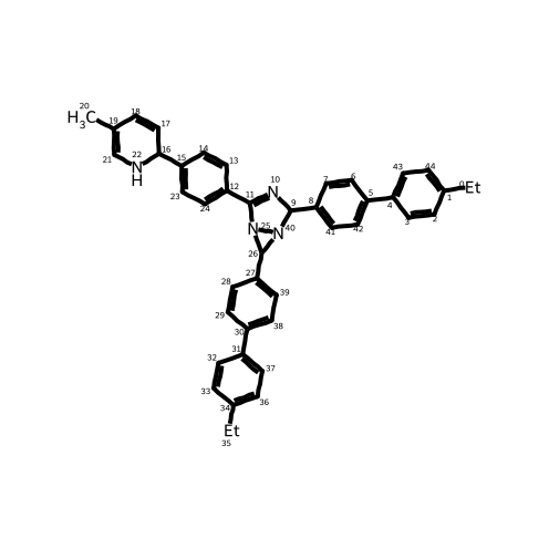 CCc1ccc(-c2ccc(C3N=C(c4ccc(C5C=CC(C)=CN5)cc4)N4C(c5ccc(-c6ccc(CC)cc6)cc5)N34)cc2)cc1